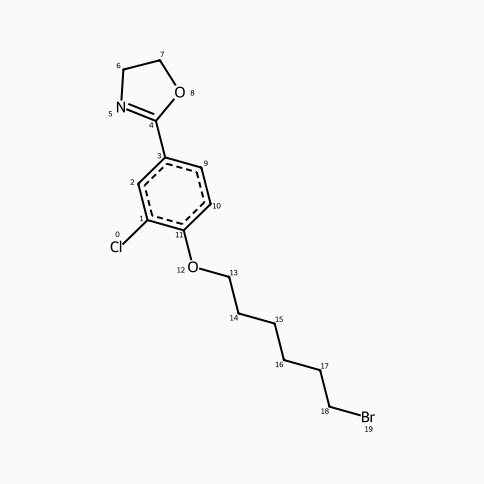 Clc1cc(C2=NCCO2)ccc1OCCCCCCBr